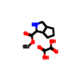 CC(C)(C)OC(=O)C1NCC2CCCC21.O=C(O)C(=O)O